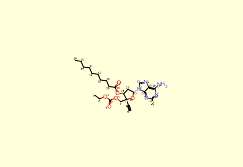 C#C[C@]1(COC(=O)OCC)O[C@@H](n2cnc3c(N)nc(F)nc32)C[C@@H]1OC(=O)CCCCCCCCC